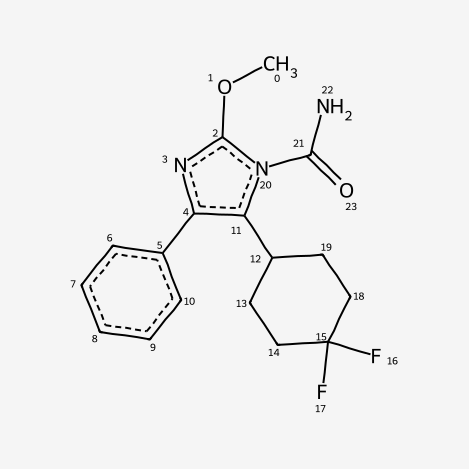 COc1nc(-c2ccccc2)c(C2CCC(F)(F)CC2)n1C(N)=O